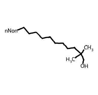 CCCCCCCCCCCCCCCCCCC(C)(C)CO